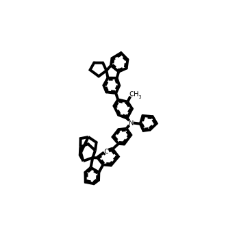 Cc1cc(N(c2ccccc2)c2ccc(-c3ccc4c(c3)C3(c5ccccc5-4)C4CC5CC(C4)CC3C5)cc2)ccc1-c1ccc2c(c1)-c1ccccc1C21CCCC1